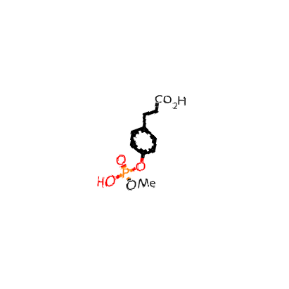 COP(=O)(O)Oc1ccc(CCC(=O)O)cc1